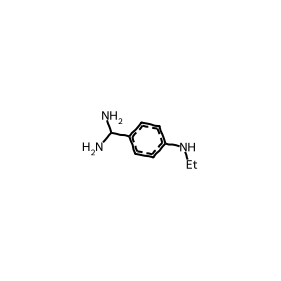 CCNc1ccc(C(N)N)cc1